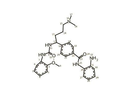 COc1ccccc1NC(=O)NC(CCCN(C)C)c1ccc(C(=O)Nc2ccccc2N)cc1